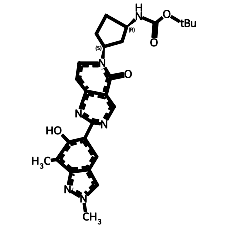 Cc1c(O)c(-c2ncc3c(=O)n([C@H]4CC[C@@H](NC(=O)OC(C)(C)C)C4)ccc3n2)cc2cn(C)nc12